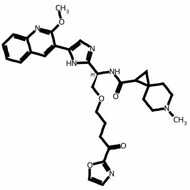 COc1nc2ccccc2cc1-c1cnc([C@H](COCCCC(=O)c2ncco2)NC(=O)C2CC23CCN(C)CC3)[nH]1